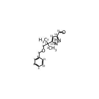 CC(C)(COCc1ccccc1)c1cc(C=O)n[nH]1